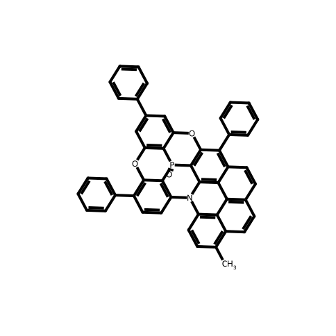 Cc1ccc2c3c1ccc1ccc4c(-c5ccccc5)c5c6c(c4c13)N2c1ccc(-c2ccccc2)c2c1P6(=O)c1c(cc(-c3ccccc3)cc1O5)O2